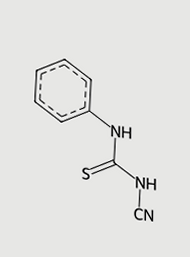 N#CNC(=S)Nc1ccccc1